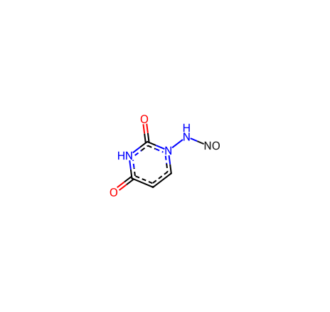 O=NNn1ccc(=O)[nH]c1=O